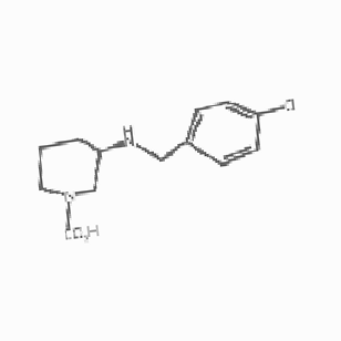 O=C(O)N1CCC[C@@H](NCc2ccc(Cl)cc2)C1